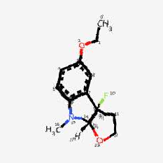 CCOc1ccc2c(c1)[C@]1(F)CCO[C@@H]1N2C